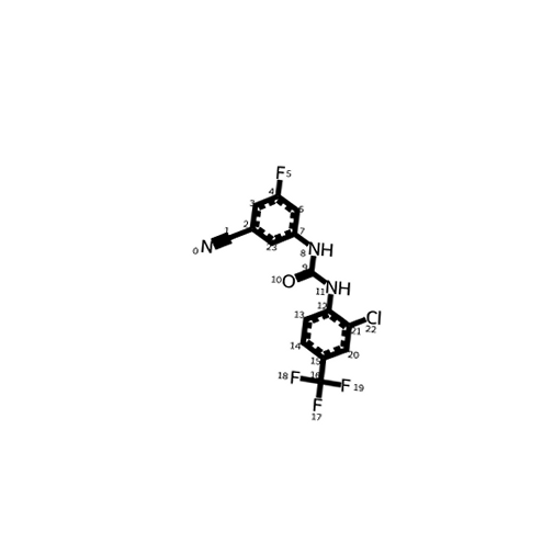 N#Cc1cc(F)cc(NC(=O)Nc2ccc(C(F)(F)F)cc2Cl)c1